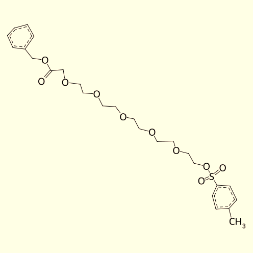 Cc1ccc(S(=O)(=O)OCCOCCOCCOCCOCCOCC(=O)OCc2ccccc2)cc1